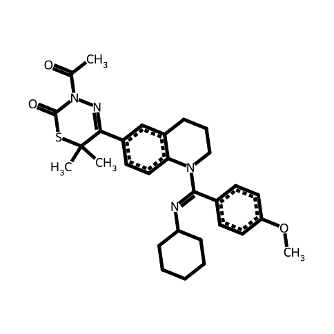 COc1ccc(C(=NC2CCCCC2)N2CCCc3cc(C4=NN(C(C)=O)C(=O)SC4(C)C)ccc32)cc1